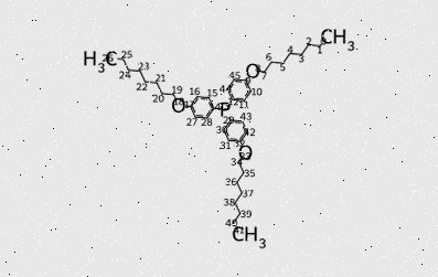 CCCCCCCCOc1ccc(P(c2ccc(OCCCCCCCC)cc2)c2ccc(OCCCCCCCC)cc2)cc1